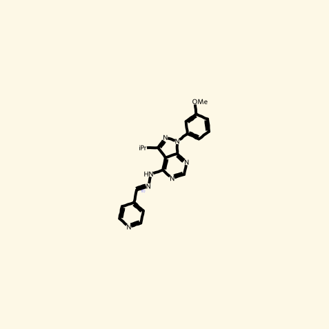 COc1cccc(-n2nc(C(C)C)c3c(N/N=C/c4ccncc4)ncnc32)c1